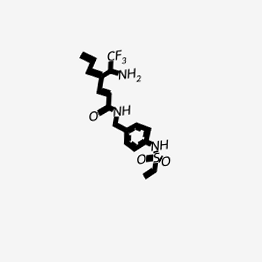 C=C/C=C(/C=C/C(=O)NCc1ccc(NS(=O)(=O)C=C)cc1)C(N)C(F)(F)F